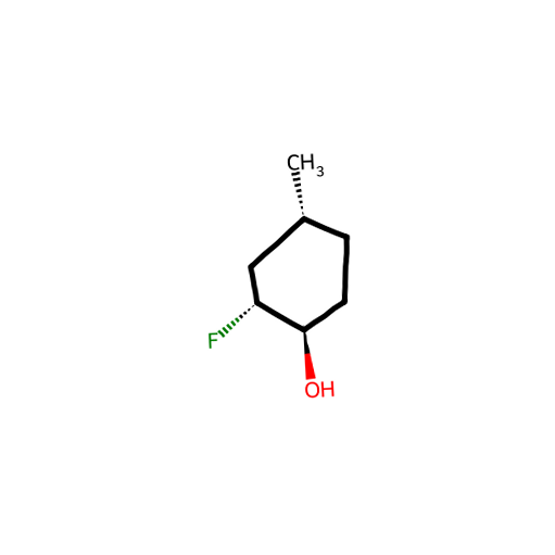 C[C@@H]1CC[C@@H](O)[C@H](F)C1